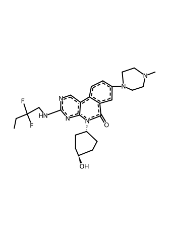 CCC(F)(F)CNc1ncc2c3ccc(N4CCN(C)CC4)cc3c(=O)n([C@H]3CC[C@H](O)CC3)c2n1